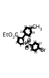 CCOC(=O)C1=CCN(S(=O)(=O)c2ccc(Br)cc2)C1c1ccc(C)cc1